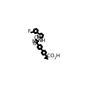 Cc1noc(-c2ccc(-c3ccc(C4(C(=O)O)CC4)cc3)cc2)c1Nc1cccc(-c2cccc(CF)c2)n1